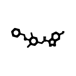 Cc1cc(CNc2noc3cc(F)ccc23)cc(C)c1OCc1ccccc1